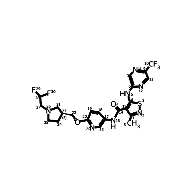 Cc1nsc(Nc2cnc(C(F)(F)F)cn2)c1C(=O)Nc1ccc(OC[C@H]2CCN(CC(F)F)C2)nc1